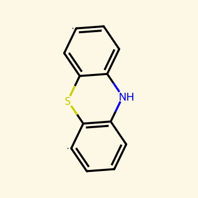 [c]1ccc2c(c1)Sc1[c]cccc1N2